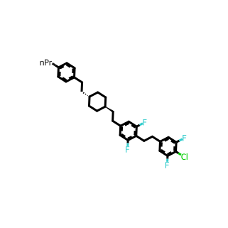 CCCc1ccc(CC[C@H]2CC[C@H](CCc3cc(F)c(CCc4cc(F)c(Cl)c(F)c4)c(F)c3)CC2)cc1